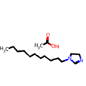 CC(=O)O.CCCCCCCCCCCN1C=NCC1